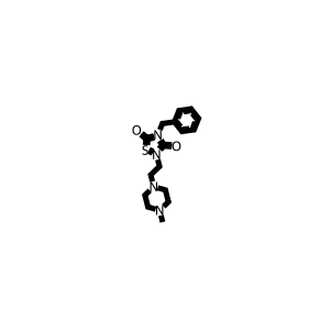 CN1CCN(CCn2sc(=O)n(Cc3ccccc3)c2=O)CC1